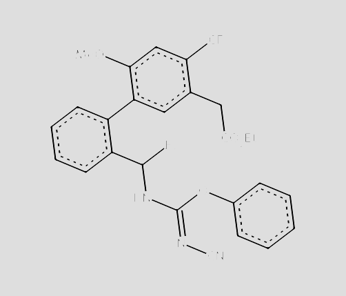 CCOC(=O)Cc1cc(-c2ccccc2C(CC)NC(=NC#N)Oc2ccccc2)c(OC)cc1C(F)(F)F